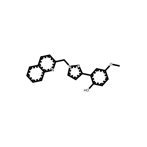 COc1ccc(O)c(-c2ccn(Cc3ccc4ccccc4n3)n2)c1